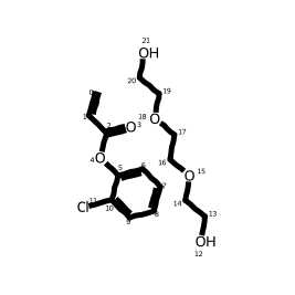 C=CC(=O)Oc1ccccc1Cl.OCCOCCOCCO